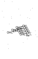 O=[C-]O.O=[C-]O.O=[C-]O.O=[C-]O.O=[C-]O.O=[C-]O.O=[C-]O.[Re+7]